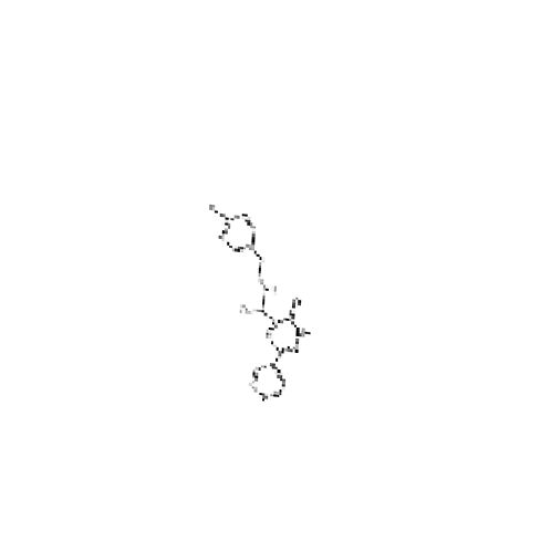 O=C(NCCc1ccc(F)cc1)c1cc(-c2ccncc2)n[nH]c1=O